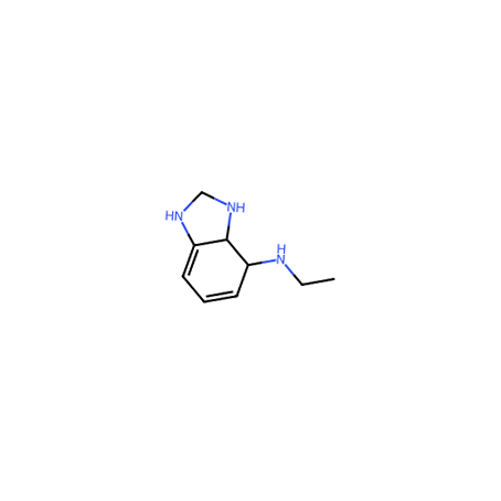 CCNC1C=CC=C2NCNC21